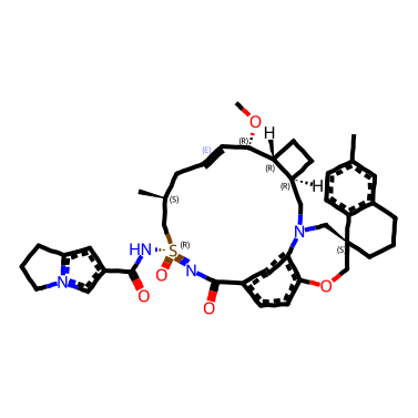 CO[C@H]1/C=C/C[C@H](C)C[S@@](=O)(NC(=O)c2cc3n(c2)CCC3)=NC(=O)c2ccc3c(c2)N(C[C@@H]2CC[C@H]21)C[C@@]1(CCCc2cc(C)ccc21)CO3